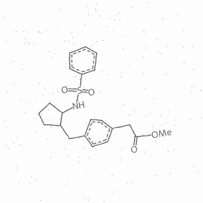 COC(=O)Cc1ccc(CC2CCCC2NS(=O)(=O)c2ccccc2)cc1